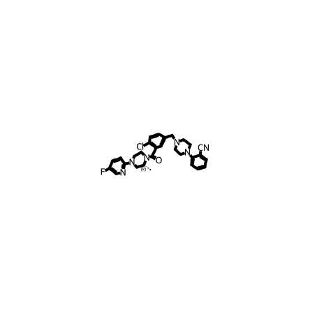 C[C@@H]1CN(c2ccc(F)cn2)CCN1C(=O)c1cc(CN2CCN(c3ccccc3C#N)CC2)ccc1Cl